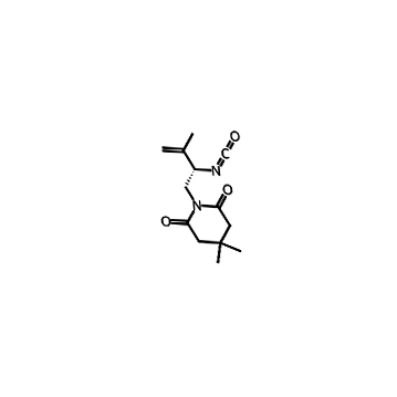 C=C(C)[C@@H](CN1C(=O)CC(C)(C)CC1=O)N=C=O